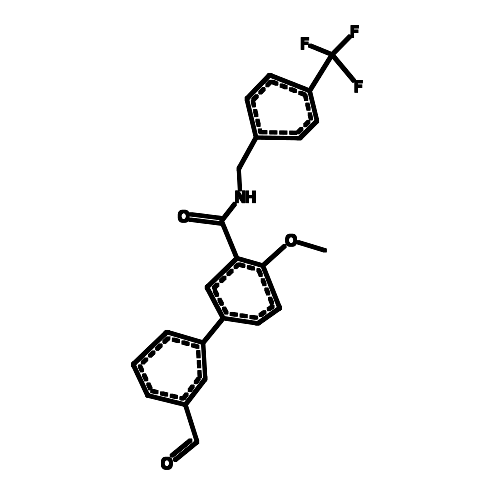 COc1ccc(-c2cccc(C=O)c2)cc1C(=O)NCc1ccc(C(F)(F)F)cc1